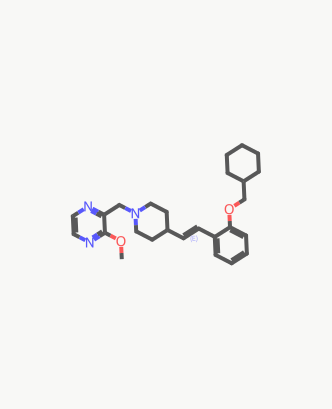 COc1nccnc1CN1CCC(/C=C/c2ccccc2OCC2CCCCC2)CC1